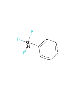 [F][SbH]([F])([F])[c]1ccccc1